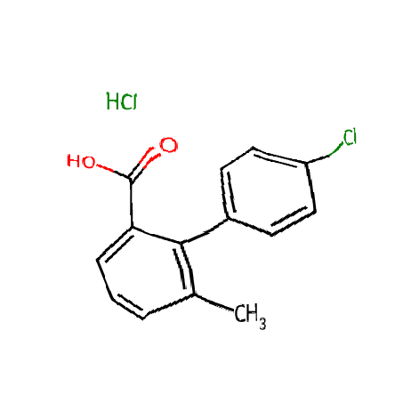 Cc1cccc(C(=O)O)c1-c1ccc(Cl)cc1.Cl